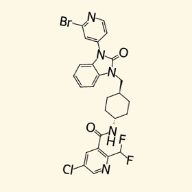 O=C(N[C@H]1CC[C@H](Cn2c(=O)n(-c3ccnc(Br)c3)c3ccccc32)CC1)c1cc(Cl)cnc1C(F)F